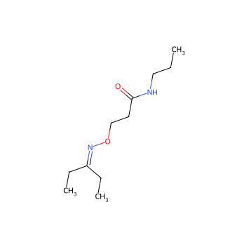 CCCNC(=O)CCON=C(CC)CC